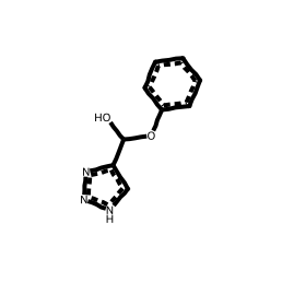 OC(Oc1ccccc1)c1c[nH]nn1